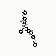 Cc1nccc(Oc2ccc(CC(NC(=O)[C@@H]3Cc4cc5c(cc4CN3Cc3ccccc3)O[C@@H](c3ccc(OCC4CCCCC4)cc3)CO5)C(=O)O)cc2)c1C